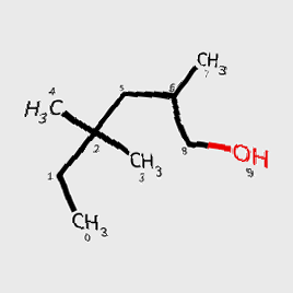 CCC(C)(C)CC(C)CO